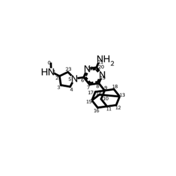 CNC1CCN(c2cc(C34CC5CC(CC(C5)C3)C4)nc(N)n2)C1